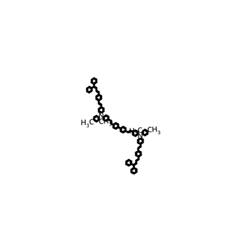 Cc1ccc(N(c2ccc(/C=C/c3ccc(/C=C/C=C(c4ccccc4)c4ccccc4)cc3)cc2)c2ccc(/C=C/c3ccc(-c4ccc(/C=C/c5ccc(N(c6ccc(/C=C/c7ccc(/C=C/C=C(c8ccccc8)c8ccccc8)cc7)cc6)c6ccc(C)cc6C)cc5)cc4)cc3)cc2)c(C)c1